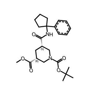 COC(=O)[C@@H]1C[C@H](C(=O)NC2(c3ccccc3)CCCC2)CN(C(=O)OC(C)(C)C)C1